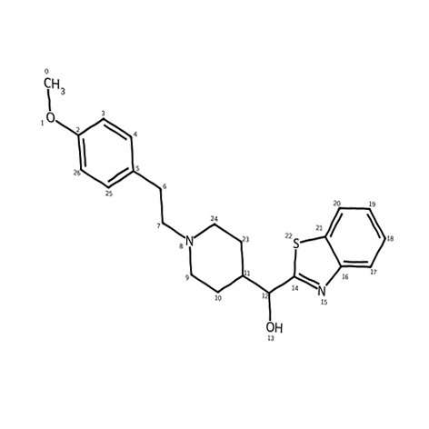 COc1ccc(CCN2CCC(C(O)c3nc4ccccc4s3)CC2)cc1